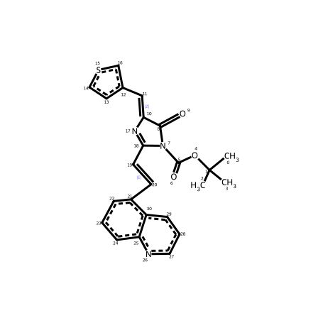 CC(C)(C)OC(=O)N1C(=O)/C(=C/c2ccsc2)N=C1/C=C/c1cccc2ncccc12